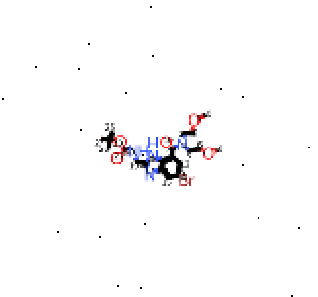 COCCN(CCOC)C(=O)c1cc(Br)cc2nc(CNC(=O)OC(C)(C)C)[nH]c12